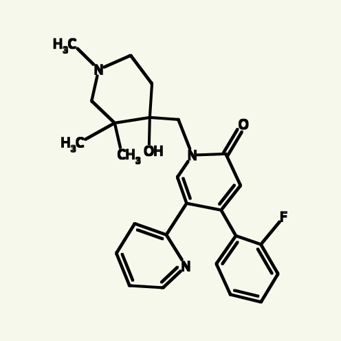 CN1CCC(O)(Cn2cc(-c3ccccn3)c(-c3ccccc3F)cc2=O)C(C)(C)C1